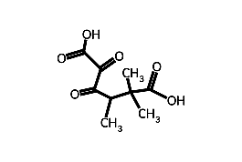 CC(C(=O)C(=O)C(=O)O)C(C)(C)C(=O)O